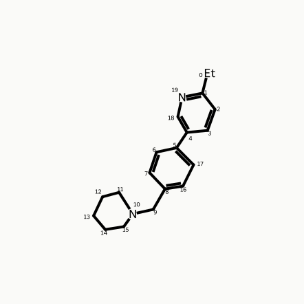 CCc1ccc(-c2ccc(CN3CCCCC3)cc2)cn1